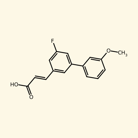 COc1cccc(-c2cc(F)cc(C=CC(=O)O)c2)c1